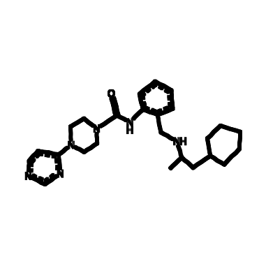 CC(CC1CCCCC1)NCc1ccccc1NC(=O)N1CCN(c2ccncn2)CC1